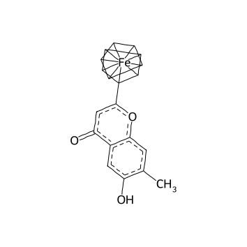 Cc1cc2oc([C]34[CH]5[CH]6[CH]7[CH]3[Fe]6754389%10[CH]4[CH]3[CH]8[CH]9[CH]4%10)cc(=O)c2cc1O